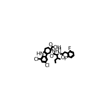 CCC(C)C(NC(=O)Cc1c(F)cccc1F)C(=O)N[C@]1(C(=O)O)CCc2[nH]c3c(Cl)cc(Cl)cc3c2C1